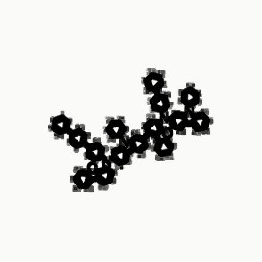 c1ccc(-c2ccc(-c3ccc(N(c4ccc5c6ccc(-c7ccc(N(c8ccc(-c9ccccc9)cc8)c8ccc9c%10ccccc%10n(-c%10ccccc%10)c9c8)c8oc9ccccc9c78)cc6n(-c6ccccc6)c5c4)c4cccc5c4oc4ccccc45)cc3)cc2)cc1